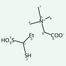 CCC(S)S(=O)(=O)O.C[N+](C)(C)CC(=O)[O-]